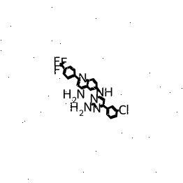 Nc1nc(Nc2ccc3nc(-c4ccc(C(F)(F)F)cc4)cc(N)c3c2)cc(-c2cccc(Cl)c2)n1